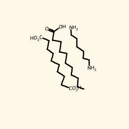 CCCCCCCCCCC(=O)O.NCCCCCCN.O=C(O)CCCCCCCCC(=O)O